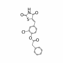 O=C(Cc1ccccc1)Oc1ccc(/C=C2\SC(=O)NC2=O)cc1Cl